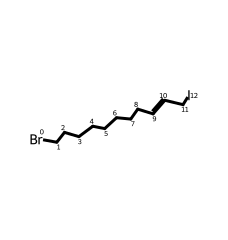 BrCCCCCCCCC=CCI